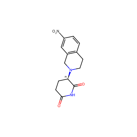 O=C1CC[C@@H](N2CCc3ccc([N+](=O)[O-])cc3C2)C(=O)N1